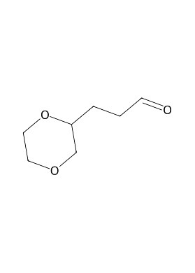 O=CCCC1COCCO1